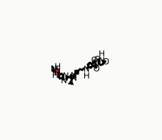 CN1C[C@@H]2C[C@H]1CN2c1ccc2ncc(-c3cn(C4CC(CCCNc5ccc6c(c5)C(=O)N(C5CCC(=O)NC5=O)C6=O)C4)nc3C3CC3)nc2c1